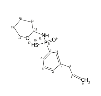 C=CCc1cccc(P(=O)(S)NC2CCCCO2)c1